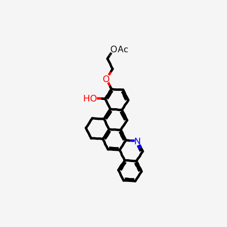 CC(=O)OCCOc1ccc2cc3c4c(cc5c6ccccc6cnc35)CCCc4c2c1O